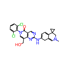 CN1C=C2CC(Nc3ncc4c(=O)n(-c5c(Cl)cccc5Cl)cc(CO)c4n3)=CC=C2C2(CC2)C1